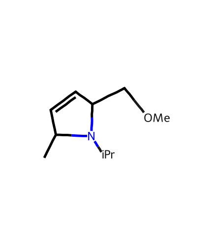 COCC1C=CC(C)N1C(C)C